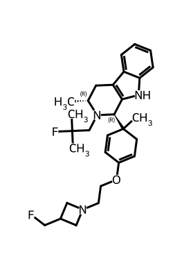 C[C@@H]1Cc2c([nH]c3ccccc23)[C@@H](C2(C)C=CC(OCCN3CC(CF)C3)=CC2)N1CC(C)(C)F